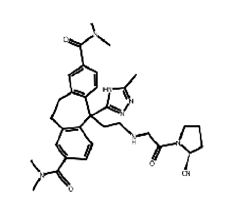 Cc1nnc(C2(CCNCC(=O)N3CCC[C@H]3C#N)c3ccc(C(=O)N(C)C)cc3CCc3cc(C(=O)N(C)C)ccc32)[nH]1